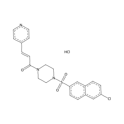 Cl.O=C(/C=C/c1ccncc1)N1CCN(S(=O)(=O)c2ccc3cc(Cl)ccc3c2)CC1